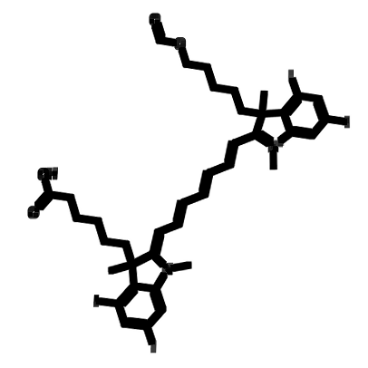 CN1\C(=C/C=C/C=C/C=C/C2=[N+](C)c3cc(I)cc(I)c3C2(C)CCCCCOC=O)C(C)(CCCCCC(=O)O)c2c(I)cc(I)cc21